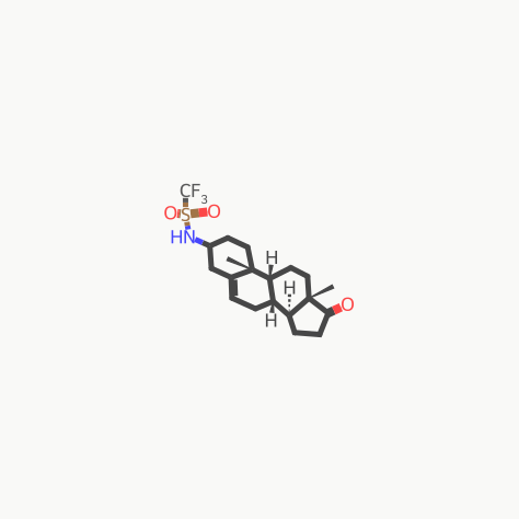 C[C@]12CCC(NS(=O)(=O)C(F)(F)F)CC1=CC[C@@H]1[C@H]2CC[C@]2(C)C(=O)CC[C@@H]12